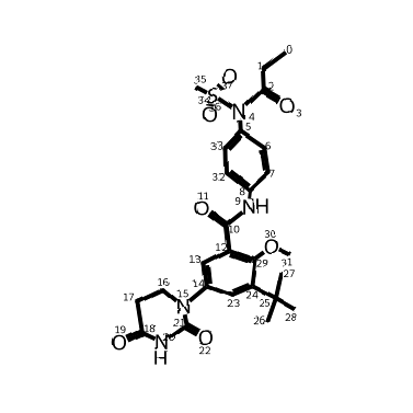 CCC(=O)N(c1ccc(NC(=O)c2cc(N3CCC(=O)NC3=O)cc(C(C)(C)C)c2OC)cc1)S(C)(=O)=O